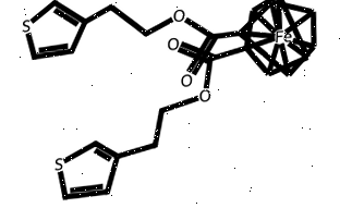 O=C(OCCc1ccsc1)[C]12[CH]3[CH]4[CH]5[CH]1[Fe]45321678[CH]2[CH]1[CH]6[C]7(C(=O)OCCc1ccsc1)[CH]28